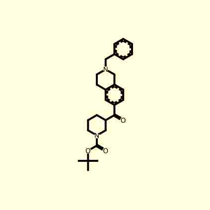 CC(C)(C)OC(=O)N1CCCC(C(=O)c2ccc3c(c2)CCN(Cc2ccccc2)C3)C1